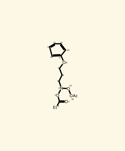 CCC(=O)ON(CCCOc1ccccc1)OOC(C)=O